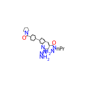 CCCN(N)C(=O)C1=Cc2ccc(-c3ccc(C(=O)N4CCCC4)cc3)cc2N=C(N=NN)C1